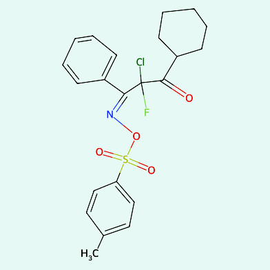 Cc1ccc(S(=O)(=O)ON=C(c2ccccc2)C(F)(Cl)C(=O)C2CCCCC2)cc1